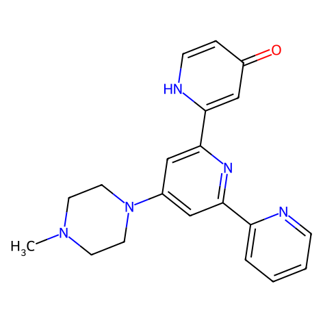 CN1CCN(c2cc(-c3ccccn3)nc(-c3cc(=O)cc[nH]3)c2)CC1